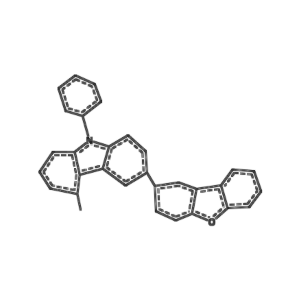 Cc1cccc2c1c1cc(-c3ccc4oc5ccccc5c4c3)ccc1n2-c1ccccc1